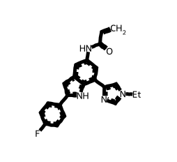 C=CC(=O)Nc1cc(-c2cn(CC)cn2)c2[nH]c(-c3ccc(F)cc3)cc2c1